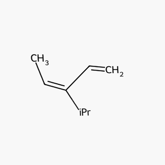 C=C/C(=C\C)C(C)C